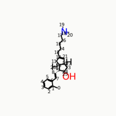 Cc1ccccc1/C=C/[C@@H]1[C@H]2CC(CCCCCN(C)C)=C[C@H]2C[C@H]1O